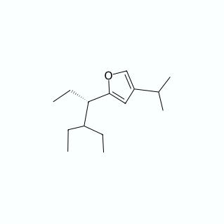 CCC(CC)[C@H](CC)c1cc(C(C)C)co1